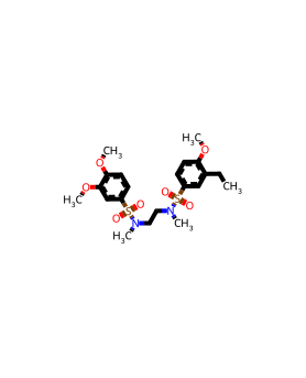 CCc1cc(S(=O)(=O)N(C)CCN(C)S(=O)(=O)c2ccc(OC)c(OC)c2)ccc1OC